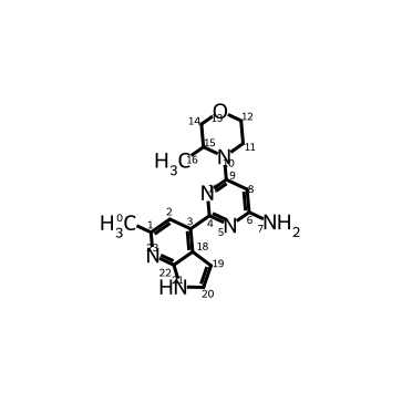 Cc1cc(-c2nc(N)cc(N3CCOCC3C)n2)c2cc[nH]c2n1